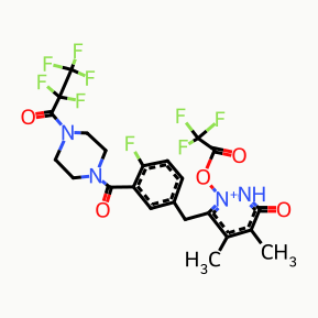 Cc1c(C)c(=O)[nH][n+](OC(=O)C(F)(F)F)c1Cc1ccc(F)c(C(=O)N2CCN(C(=O)C(F)(F)C(F)(F)F)CC2)c1